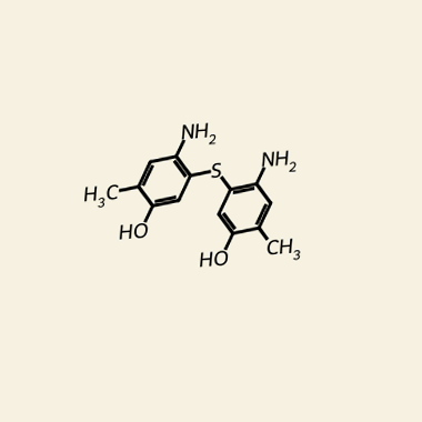 Cc1cc(N)c(Sc2cc(O)c(C)cc2N)cc1O